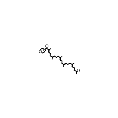 CC(=O)CCC=C(C)CCC=C(C)CCC=C(C)CCC=C(C)CCC=C(C)C(=O)N1CCOCC1